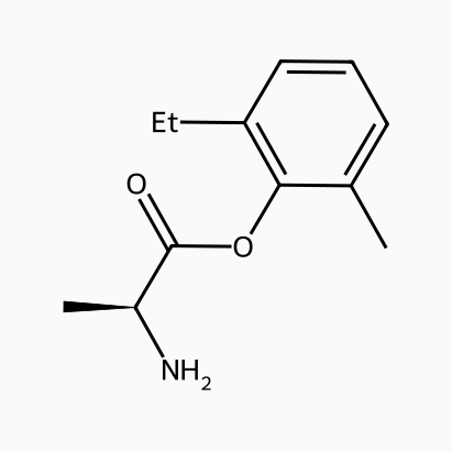 CCc1cccc(C)c1OC(=O)[C@H](C)N